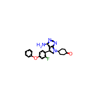 Nc1ncnc2c1c(-c1ccc(Oc3ccccc3)cc1F)cn2C1CCC(=O)CC1